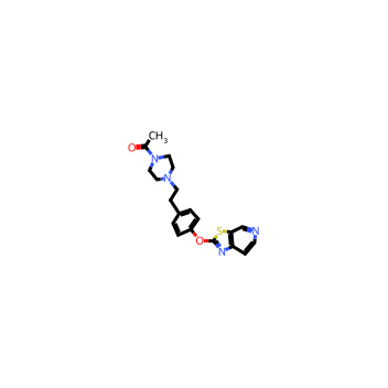 CC(=O)N1CCN(CCc2ccc(Oc3nc4ccncc4s3)cc2)CC1